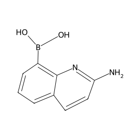 Nc1ccc2cccc(B(O)O)c2n1